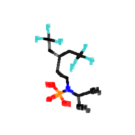 CC(C)N(CCC(CC(F)(F)F)CC(F)(F)F)P(=O)(O)O